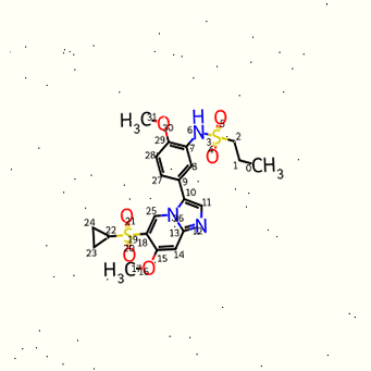 CCCS(=O)(=O)Nc1cc(-c2cnc3cc(OC)c(S(=O)(=O)C4CC4)cn23)ccc1OC